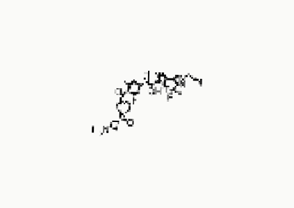 Cc1cc(NC(O)c2ncc(-c3cn(CC#N)nc3C(F)(F)F)n2C)cc(F)c1C(=O)N1CCN(C(=O)[C@H]2C[C@H](N)C2)CC1